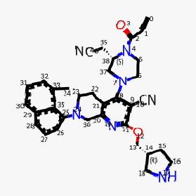 C=CC(=O)N1CCN(c2c(C#N)c(OC[C@@H]3CCNC3)nc3c2CCN(c2cccc4cccc(C)c24)C3)C[C@@H]1CC#N